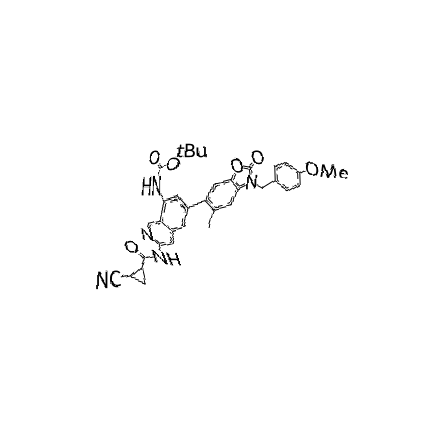 COc1ccc(Cn2c(=O)oc3cc(-c4cc(NC(=O)OC(C)(C)C)c5cnc(NC(=O)C6CC6C#N)cc5c4)c(C)cc32)cc1